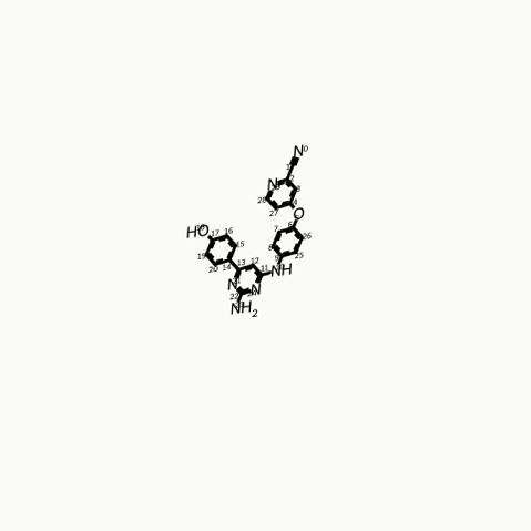 N#Cc1cc(Oc2ccc(Nc3cc(-c4ccc(O)cc4)nc(N)n3)cc2)ccn1